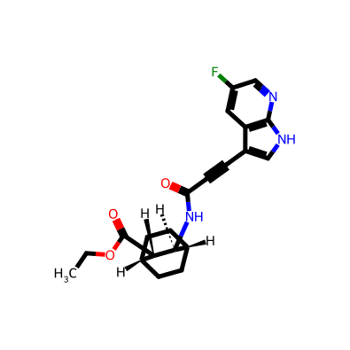 CCOC(=O)[C@H]1[C@H]2CC[C@H](CC2)[C@@H]1NC(=O)C#Cc1c[nH]c2ncc(F)cc12